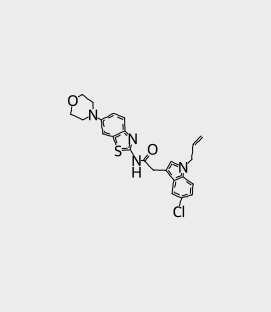 C=CCn1cc(CC(=O)Nc2nc3ccc(N4CCOCC4)cc3s2)c2cc(Cl)ccc21